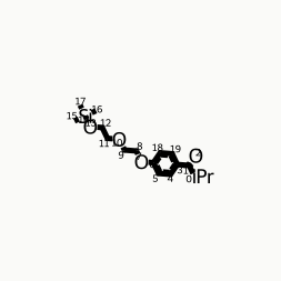 CC(C)C(=O)c1ccc(OCCOCCO[Si](C)(C)C)cc1